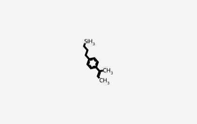 C/C=C(\C)c1ccc(CCC[SiH3])cc1